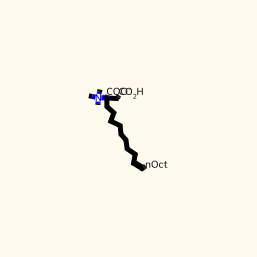 CCCCCCCC/C=C\CCCCCCCCC(CC(=O)O)(C(=O)[O-])[N+](C)(C)C